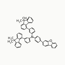 CC1(C)c2ccccc2-c2c(-c3cccc(N(c4ccc(-c5ccc6c(c5)oc5ccccc56)cc4)c4cccc(-c5cccc6c5-c5ccccc5C6(C)C)c4)c3)cccc21